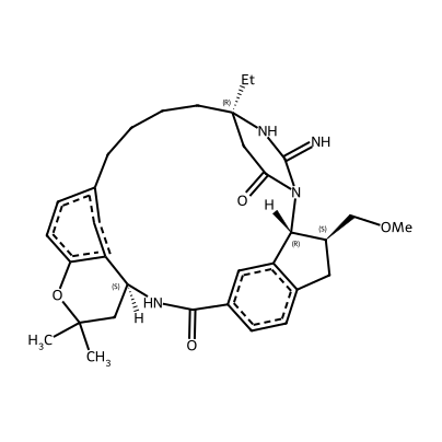 CC[C@]12CCCCc3ccc4c(c3)[C@H](CC(C)(C)O4)NC(=O)c3ccc4c(c3)[C@@H]([C@@H](COC)C4)N(C(=N)N1)C(=O)C2